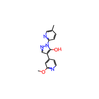 COc1cc(-c2cnn(-c3ccc(C)cn3)c2O)ccn1